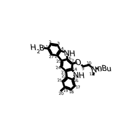 Bc1ccc2[nH]c3c(OCCN(C)CCCC)c4[nH]c5ccc(C)cc5c4cc3c2c1